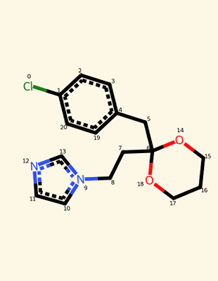 Clc1ccc(CC2(CCn3ccnc3)OCCCO2)cc1